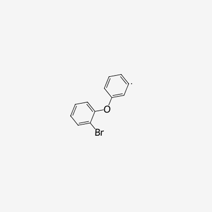 Brc1ccccc1Oc1c[c]ccc1